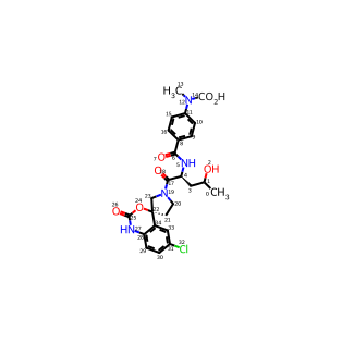 CC(O)C[C@H](NC(=O)c1ccc(N(C)C(=O)O)cc1)C(=O)N1CC[C@@]2(C1)OC(=O)Nc1ccc(Cl)cc12